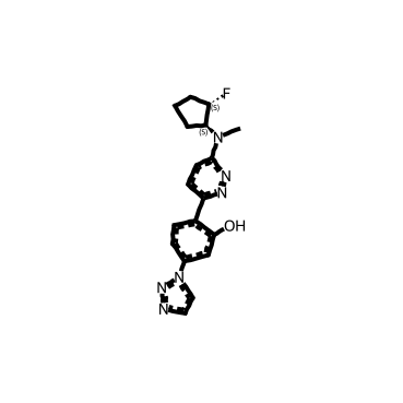 CN(c1ccc(-c2ccc(-n3ccnn3)cc2O)nn1)[C@H]1CCC[C@@H]1F